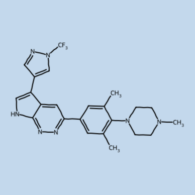 Cc1cc(-c2cc3c(-c4cnn(C(F)(F)F)c4)c[nH]c3nn2)cc(C)c1N1CCN(C)CC1